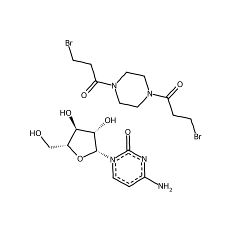 Nc1ccn([C@@H]2O[C@H](CO)[C@@H](O)[C@@H]2O)c(=O)n1.O=C(CCBr)N1CCN(C(=O)CCBr)CC1